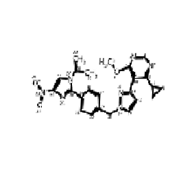 COc1ncnc(C2CC2)c1-c1ccn(Cc2ccc(-c3nc([N+](=O)[O-])cn3C(C)C)cc2)n1